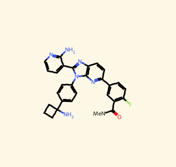 CNC(=O)c1cc(-c2ccc3nc(-c4cccnc4N)n(-c4ccc(C5(N)CCC5)cc4)c3n2)ccc1F